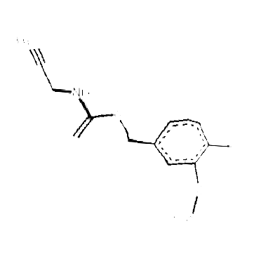 C#CCNC(=O)OCc1ccc(O)c(OC)c1